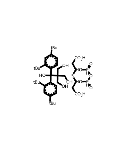 CC(C)(C)c1ccc(C(O)(c2ccc(C(C)(C)C)cc2C(C)(C)C)C(CO)(CO)CO)c(C(C)(C)C)c1.O=C(O)CCSCCC(=O)O.O=[PH](O)O[PH](=O)O